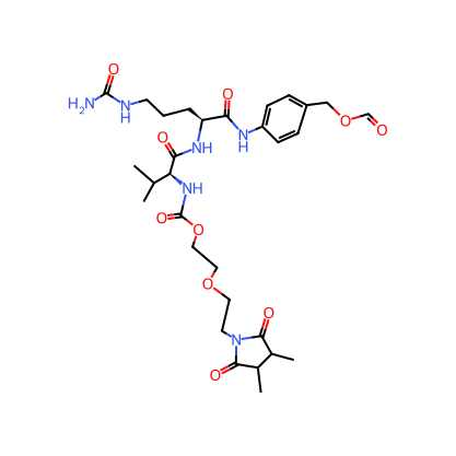 CC1C(=O)N(CCOCCOC(=O)N[C@H](C(=O)N[C@@H](CCCNC(N)=O)C(=O)Nc2ccc(COC=O)cc2)C(C)C)C(=O)C1C